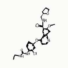 CCNC(=O)Nc1ccc(Oc2ccnc3cc(OC)c(C(=O)NC[C@H]4CCCO4)cc23)cc1Cl